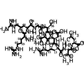 CC(C)C[C@H](NC(=O)[C@@H](NC(=O)[C@H](CCCNC(=N)N)NC(=O)[C@H](CC(=O)O)NC(=O)[C@@H](NC(=O)[C@H](CO)NC(=O)CNC(=O)[C@H](CCCNC(=N)N)NC(=O)[C@@H](N)CCCNC(=N)N)[C@@H](C)O)[C@@H](C)O)C(=O)O